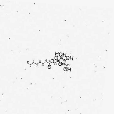 CCCCCCCC(=O)OC[C@@]1(O)O[C@H](CO)[C@@H](O)[C@@H]1O